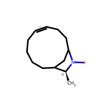 C[C@H]1C2CCCC/C=C\CCC(C2)N1I